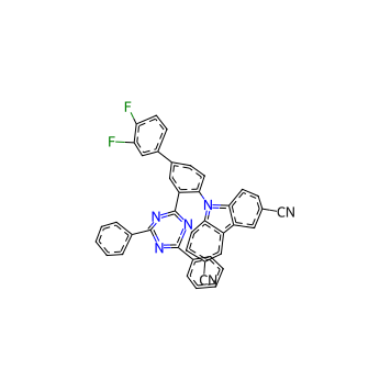 N#Cc1ccc2c(c1)c1cc(C#N)ccc1n2-c1ccc(-c2ccc(F)c(F)c2)cc1-c1nc(-c2ccccc2)nc(-c2ccccc2)n1